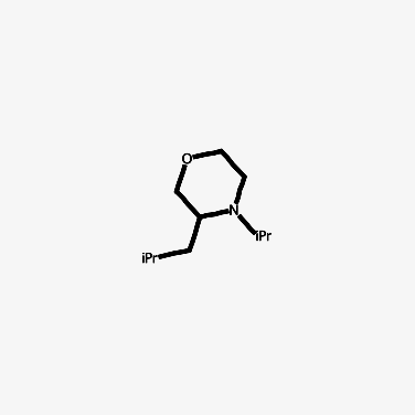 CC(C)CC1COCCN1C(C)C